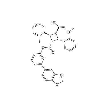 COc1ccccc1[C@H]1[C@H](C(=O)O)[C@H](c2ccccc2C)[C@H]1C(=O)Oc1cccc(-c2ccc3c(c2)OCO3)c1